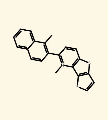 Cc1c(-c2ccc3sc4ccsc4c3[n+]2C)ccc2ccccc12